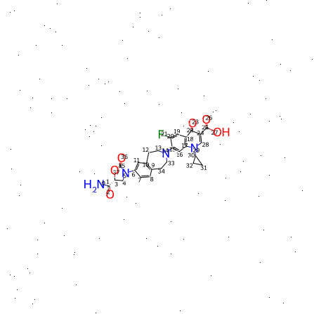 NC(=O)[C@H]1CN(c2ccc3c(c2)CCN(c2cc4c(cc2F)c(=O)c(C(=O)O)cn4C2CC2)CC3)C(=O)O1